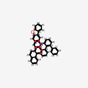 c1ccc(-c2ccccc2-c2c(-c3ccccc3)cccc2N(c2ccc3c(ccc4ccccc43)c2)c2ccc3oc4ccccc4c3c2)cc1